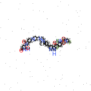 C[C@H]1CN(CC2CCN(c3ccc4c(c3)CN(C3CCC(=O)NC3=O)C4=O)CC2)CCN1c1ccc(-c2cnc3[nH]cc(C(=O)c4c(F)ccc(NS(=O)(=O)N5CC[C@@H](F)C5)c4F)c3c2)cc1